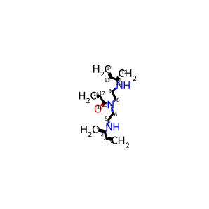 C=CC(=C)NCCN(CCNC(=C)C=C)C(=O)C=C